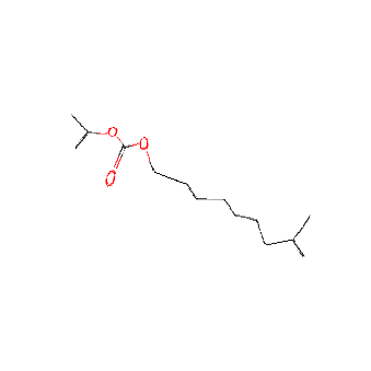 CC(C)CCCCCCCOC(=O)OC(C)C